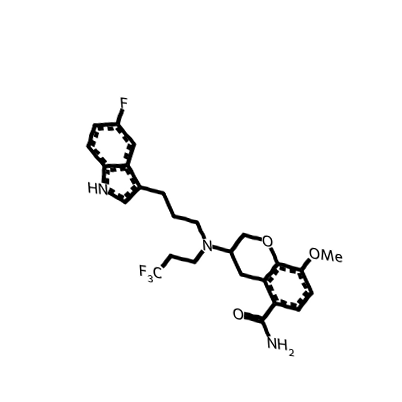 COc1ccc(C(N)=O)c2c1OCC(N(CCCc1c[nH]c3ccc(F)cc13)CCC(F)(F)F)C2